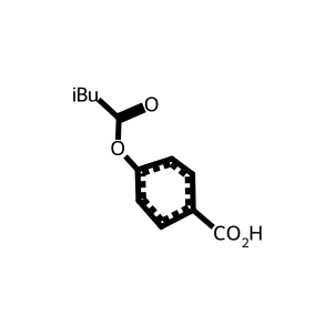 CCC(C)C(=O)Oc1ccc(C(=O)O)cc1